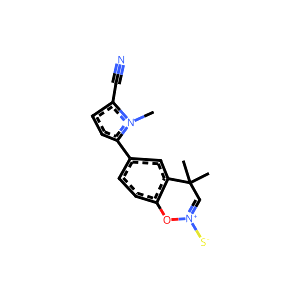 Cn1c(C#N)ccc1-c1ccc2c(c1)C(C)(C)C=[N+]([S-])O2